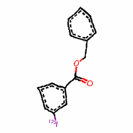 O=C(OCc1ccccc1)c1cccc([125I])c1